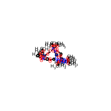 CC(C)(C)OC(=O)CC(C(=O)OC(C)(C)C)N(CCOCCOCCN([C@@H](CC(=O)OC(C)(C)C)C(=O)OC(C)(C)C)S(=O)(=O)N(Cc1ccc(OC(=O)c2ccc(NC(=NC(=O)OC(C)(C)C)NC(=O)OC(C)(C)C)cc2)cc1)C(=O)OCc1ccccc1)S(=O)(=O)N(Cc1ccc(OC(=O)c2ccc(NC(=NC(=O)OC(C)(C)C)NC(=O)OC(C)(C)C)cc2)cc1)C(=O)OCc1ccccc1